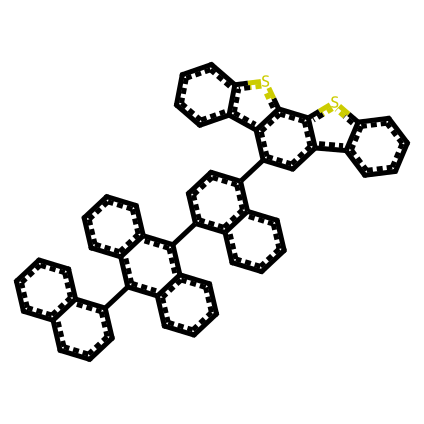 c1ccc2c(-c3c4ccccc4c(-c4ccc(-c5cc6c7ccccc7sc6c6sc7ccccc7c56)c5ccccc45)c4ccccc34)cccc2c1